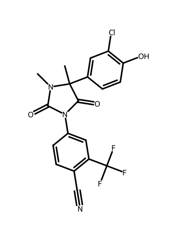 CN1C(=O)N(c2ccc(C#N)c(C(F)(F)F)c2)C(=O)C1(C)c1ccc(O)c(Cl)c1